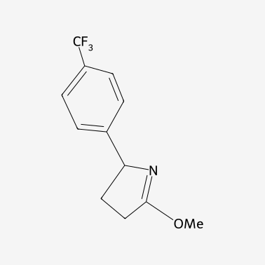 COC1=NC(c2ccc(C(F)(F)F)cc2)CC1